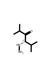 CC(C)C(=O)[C@@H](NN)C(C)C